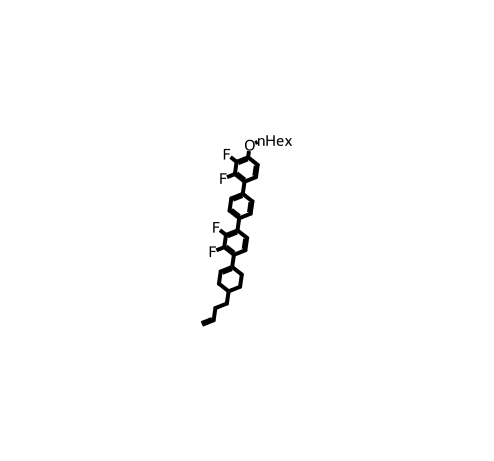 C=CCCC1CC=C(c2ccc(-c3ccc(-c4ccc(OCCCCCC)c(F)c4F)cc3)c(F)c2F)CC1